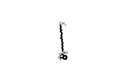 CCCCCCCCCCCCCCCCCCNC(=O)c1ccccc1C(F)(F)F